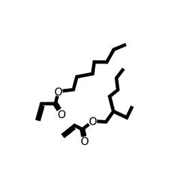 C=CC(=O)OCC(CC)CCCC.C=CC(=O)OCCCCCCC